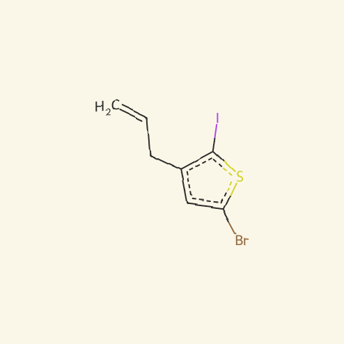 C=CCc1cc(Br)sc1I